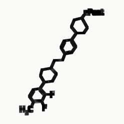 CCCCCC1CCC(c2ccc(CCC3CCC(c4ccc(C)c(F)c4F)CC3)cc2)CC1